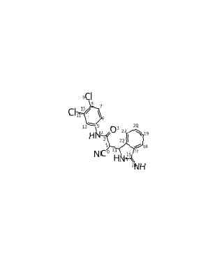 N#CC(C(=O)Nc1ccc(Cl)c(Cl)c1)C1NC(=N)c2ccccc21